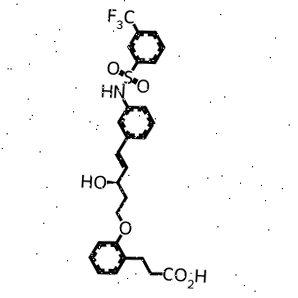 O=C(O)CCc1ccccc1OCC[C@@H](O)/C=C/c1cccc(NS(=O)(=O)c2cccc(C(F)(F)F)c2)c1